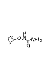 NC(=O)NCOc1cnccn1